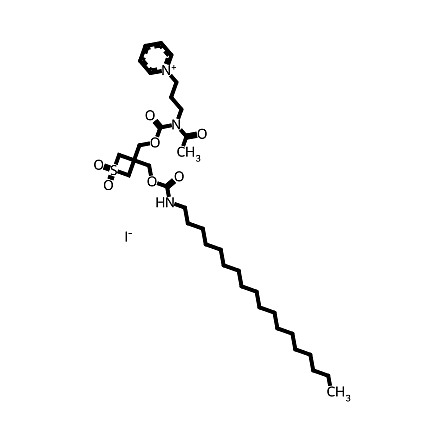 CCCCCCCCCCCCCCCCCCNC(=O)OCC1(COC(=O)N(CCC[n+]2ccccc2)C(C)=O)CS(=O)(=O)C1.[I-]